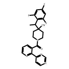 CC(c1c(F)cc(F)cc1F)C1(C#N)CCN(C(=O)c2cccnc2-c2ccncn2)CC1